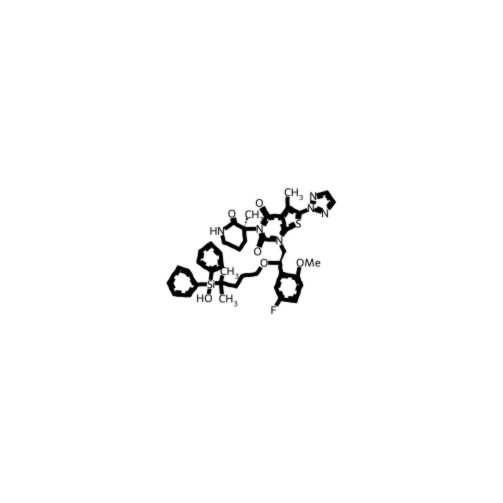 COc1ccc(F)cc1[C@H](Cn1c(=O)n([C@@]2(C)CCCNC2=O)c(=O)c2c(C)c(-n3nccn3)sc21)OCCCC(C)(C)[Si](O)(c1ccccc1)c1ccccc1